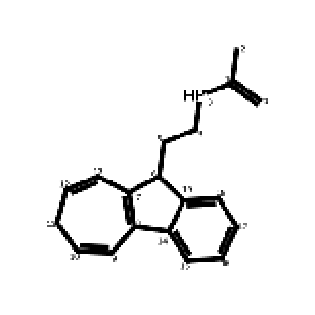 C=C(C)PCCC1C2=C(C=CCC=C2)c2ccccc21